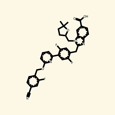 CC1(C)CCC(Cn2c(Cc3cc(F)c(-c4cccc(OCc5ccc(C#N)cc5F)n4)cc3F)nc3ccc(C(=O)O)cc32)O1